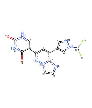 O=c1[nH]cc(-c2cc(-c3cnn(C(F)F)c3)c3nccn3n2)c(=O)[nH]1